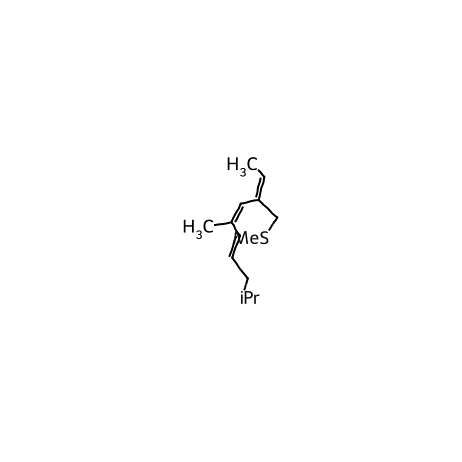 C/C=C(\C=C(\C)C=CCC(C)C)CSC